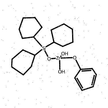 [OH][Zr]([OH])([O]c1ccccc1)[O][Si](C1CCCCC1)(C1CCCCC1)C1CCCCC1